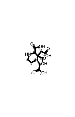 O=C(O)CN1CCNC(C(=O)O)C1(CC(=O)O)C(=O)O